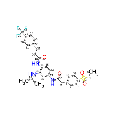 CCS(=O)(=O)c1ccc(CC(=O)Nc2ccc(NC(=O)CCc3ccc(C(F)(F)F)cc3)c(NC(C)C)c2)cc1